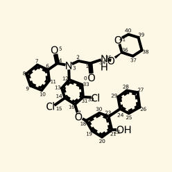 O=C(CN(C(=O)c1ccccc1)c1cc(Cl)c(Oc2ccc(O)c(-c3ccccc3)c2)c(Cl)c1)NO[C@@H]1CCCCO1